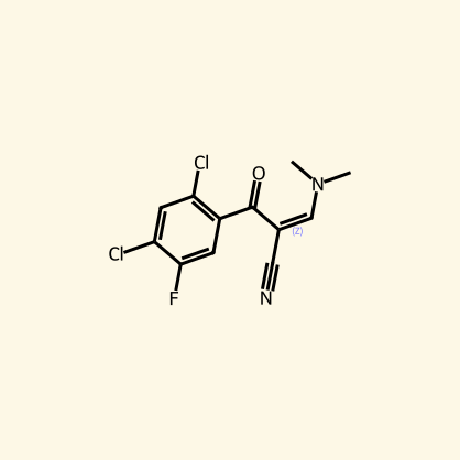 CN(C)/C=C(/C#N)C(=O)c1cc(F)c(Cl)cc1Cl